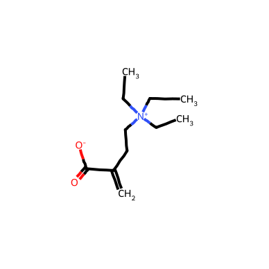 C=C(CC[N+](CC)(CC)CC)C(=O)[O-]